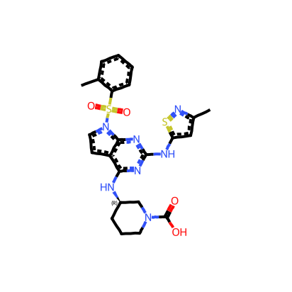 Cc1cc(Nc2nc(N[C@@H]3CCCN(C(=O)O)C3)c3ccn(S(=O)(=O)c4ccccc4C)c3n2)sn1